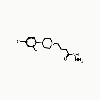 NNC(=O)CCCN1CCC(c2ccc(Cl)cc2F)CC1